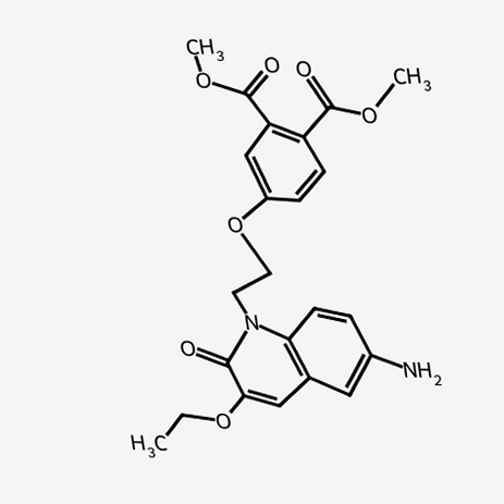 CCOc1cc2cc(N)ccc2n(CCOc2ccc(C(=O)OC)c(C(=O)OC)c2)c1=O